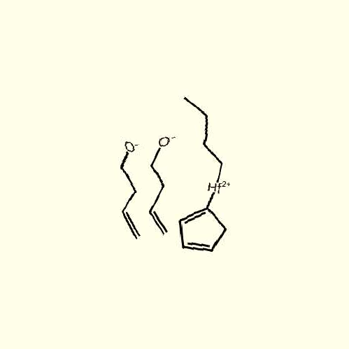 C=CCC[O-].C=CCC[O-].CCC[CH2][Hf+2][C]1=CC=CC1